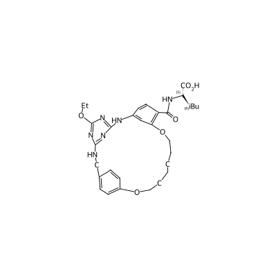 CCOc1nc2nc(n1)Nc1ccc(C(=O)N[C@H](C(=O)O)[C@H](C)CC)c(c1)OCCCCCCOc1ccc(cc1)CN2